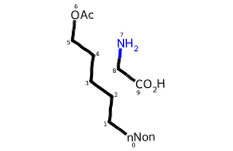 CCCCCCCCCCCCCCOC(C)=O.NCC(=O)O